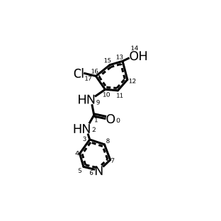 O=C(Nc1ccncc1)Nc1ccc(O)cc1Cl